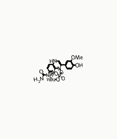 CCCCOP(=O)(O)ON1C(c2ccc(O)c(OC)c2)=CNc2ccc(NC(N)=O)nc21